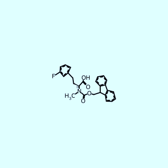 CN(C(=O)OCC1c2ccccc2-c2ccccc21)[C@@H](CCc1cccc(F)c1)C(=O)O